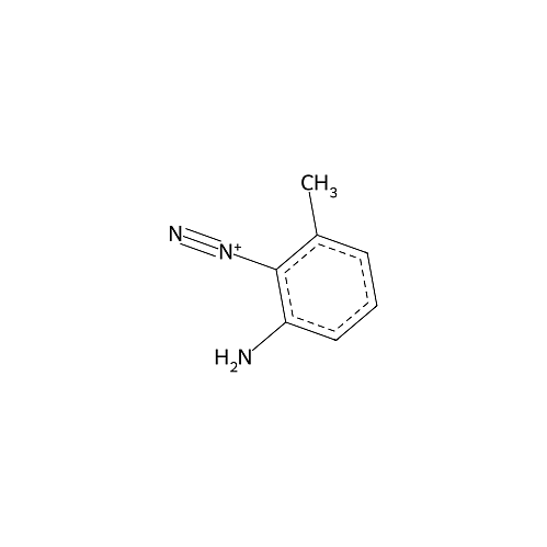 Cc1cccc(N)c1[N+]#N